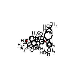 CC(=O)O.CC[C@@]1(O)C[C@H]2C[N@](CCc3c([nH]c4ccccc34)[C@@](C(=O)OC)(c3cc4c(cc3OC)N(C)[C@H]3[C@@](O)(C(=O)OC)[C@H](OC(C)=O)[C@]5(CC)C=CCN6CC[C@]43[C@@H]65)C2)C1